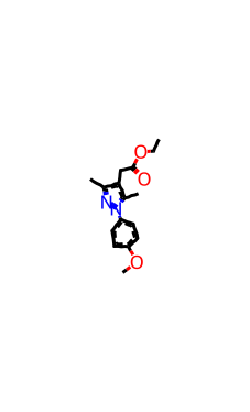 CCOC(=O)Cc1c(C)nn(-c2ccc(OC)cc2)c1C